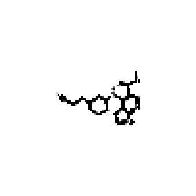 COC(=O)c1cnc2[nH]ccc2c1NC1CCCC(CCC#N)C1